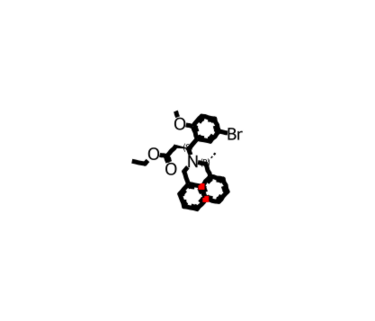 CCOC(=O)C[C@@H](c1cc(Br)ccc1OC)N(Cc1ccccc1)[C@H](C)c1ccccc1